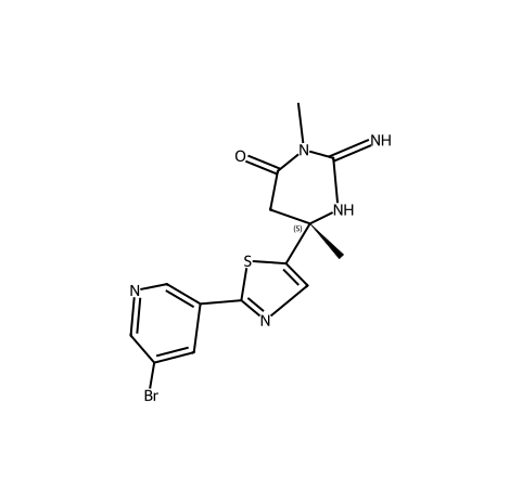 CN1C(=N)N[C@](C)(c2cnc(-c3cncc(Br)c3)s2)CC1=O